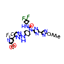 COc1ncc(-c2cnc(N(C(=O)NC3CC(F)(F)C3)C3CCC(Nc4ncc(C(F)(F)F)c(-c5cncc(S(C)(=O)=O)c5)n4)CC3)cn2)cn1